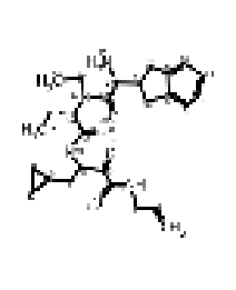 C=CCNC(=O)C(=O)C(CC1CC1)NC(=O)[C@H](CC)N(CC)C(=O)[C@@H](N)C1Cc2ccccc2C1